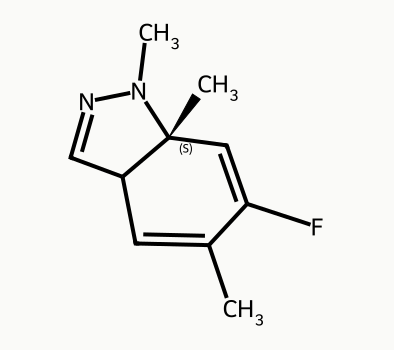 CC1=CC2C=NN(C)[C@]2(C)C=C1F